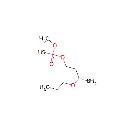 B[C@@H](CCOP(=O)(S)OC)OCCC